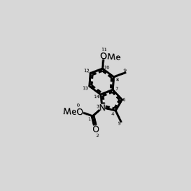 COC(=O)n1c(C)cc2c(C)c(OC)ccc21